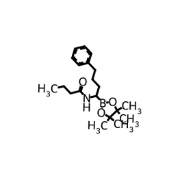 CCCC(=O)NC(CCCc1ccccc1)B1OC(C)(C)C(C)(C)O1